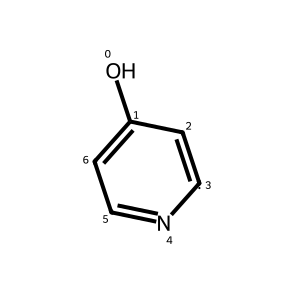 Oc1c[c]ncc1